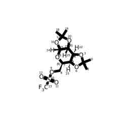 CC1(C)O[C@H]2[C@@H](O1)[C@@H](COS(=O)(=O)C(F)(F)F)O[C@@H]1OC(C)(C)O[C@@H]12